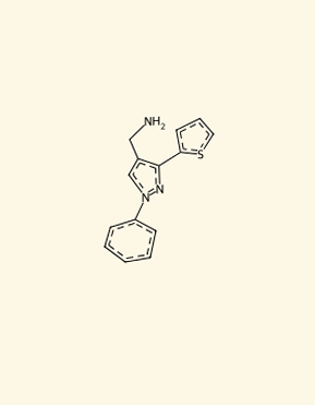 NCc1cn(-c2ccccc2)nc1-c1cccs1